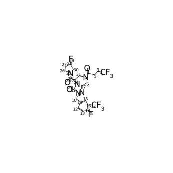 O=C(CCC(F)(F)F)N1Cc2nn(Cc3ccc(F)c(C(F)(F)F)c3)c(=O)n2C(C(=O)N2CCC(F)C2)C1